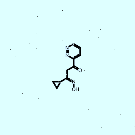 O=C(CC(=NO)C1CC1)c1cccnn1